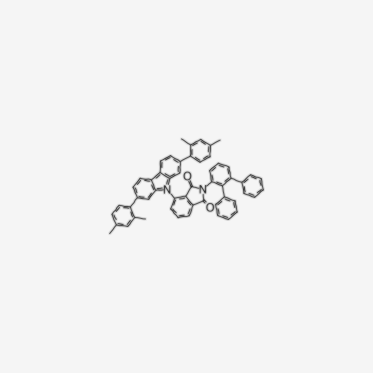 Cc1ccc(-c2ccc3c4ccc(-c5ccc(C)cc5C)cc4n(-c4cccc5c4C(=O)N(c4cccc(-c6ccccc6)c4-c4ccccc4)C5=O)c3c2)c(C)c1